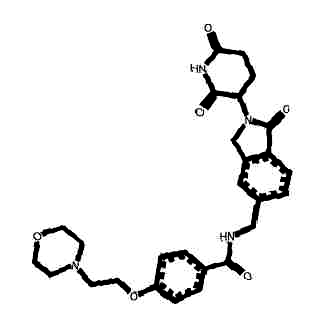 O=C1CCC(N2Cc3cc(CNC(=O)c4ccc(OCCN5CCOCC5)cc4)ccc3C2=O)C(=O)N1